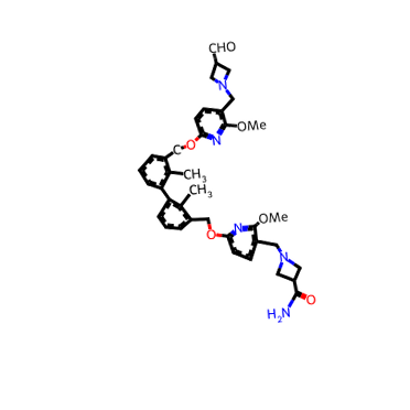 COc1nc(OCc2cccc(-c3cccc(COc4ccc(CN5CC(C(N)=O)C5)c(OC)n4)c3C)c2C)ccc1CN1CC(C=O)C1